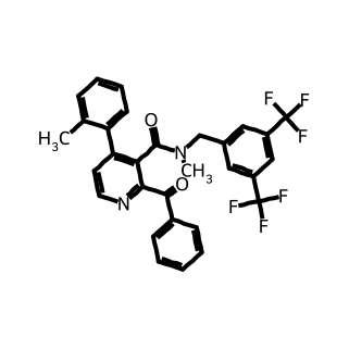 Cc1ccccc1-c1ccnc(C(=O)c2ccccc2)c1C(=O)N(C)Cc1cc(C(F)(F)F)cc(C(F)(F)F)c1